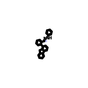 C(=N\Nc1ccccc1)/c1ccccc1-c1cccc2c1Cc1ccccc1-2